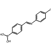 OB(O)c1ccc(C=Nc2ccc(I)cc2)cc1